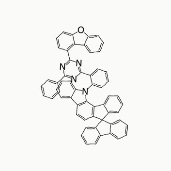 c1ccc(-c2nc(-c3ccccc3-n3c4ccccc4c4ccc5c(c43)-c3ccccc3C53c4ccccc4-c4ccccc43)nc(-c3cccc4oc5ccccc5c34)n2)cc1